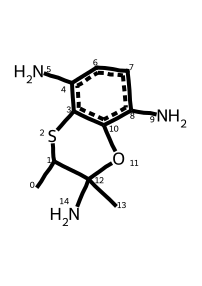 CC1Sc2c(N)ccc(N)c2OC1(C)N